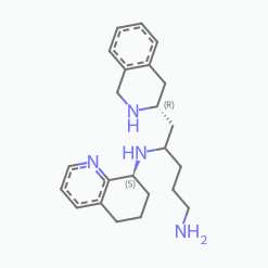 NCCCC(C[C@H]1Cc2ccccc2CN1)N[C@H]1CCCc2cccnc21